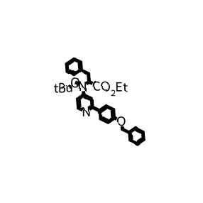 CCOC(=O)C(Cc1ccccc1)N(OC(C)(C)C)c1ccnc(-c2ccc(OCc3ccccc3)cc2)c1